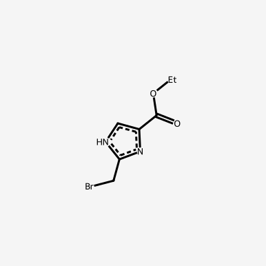 CCOC(=O)c1c[nH]c(CBr)n1